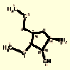 B[C@@H]1C[C@H](COC)C(OC)[C@@H]1O